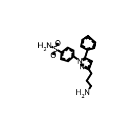 NCCCc1cc(-c2ccccc2)n(-c2ccc(S(N)(=O)=O)cc2)n1